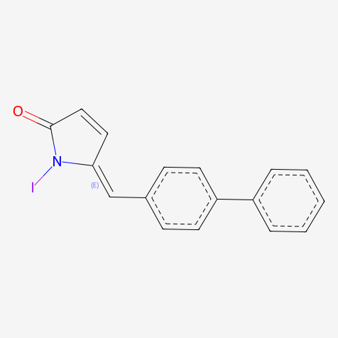 O=C1C=C/C(=C\c2ccc(-c3ccccc3)cc2)N1I